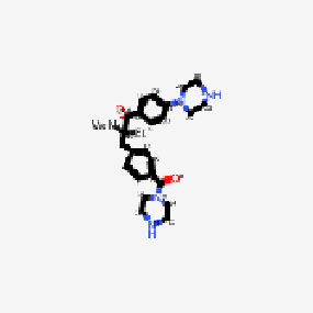 CCC(Cc1ccc(C(=O)N2CCNCC2)cc1)(NC)C(=O)c1ccc(N2CCNCC2)cc1